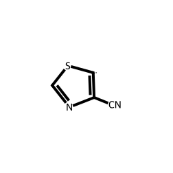 N#Cc1[c]scn1